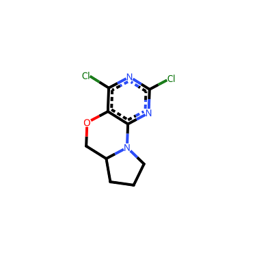 Clc1nc(Cl)c2c(n1)N1CCCC1CO2